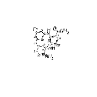 Cc1cc(F)cc(Nc2nc(N[C@@H]3CCCC[C@@H]3N)c(F)cc2C(N)=O)c1